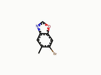 Cc1cc2ncoc2cc1Br